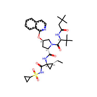 CC[C@@H]1C[C@]1(NC(=O)[C@@H]1C[C@@H](Oc2nccc3ccccc23)CN1C(=O)[C@@H](NC(=O)CC(C)(C)C)C(C)(C)C)C(=O)NS(=O)(=O)C1CC1